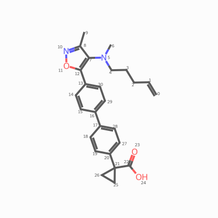 C=CCCCN(C)c1c(C)noc1-c1ccc(-c2ccc(C3(C(=O)O)CC3)cc2)cc1